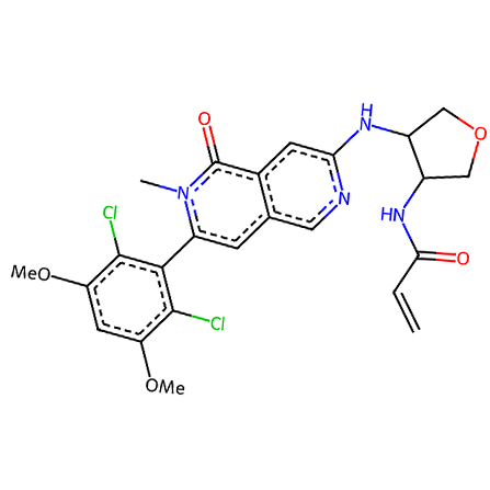 C=CC(=O)NC1COCC1Nc1cc2c(=O)n(C)c(-c3c(Cl)c(OC)cc(OC)c3Cl)cc2cn1